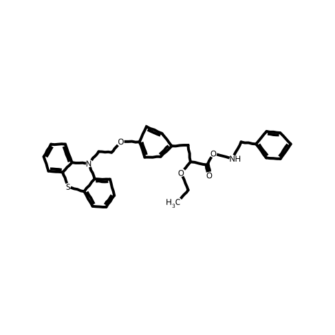 CCOC(Cc1ccc(OCCN2c3ccccc3Sc3ccccc32)cc1)C(=O)ONCc1ccccc1